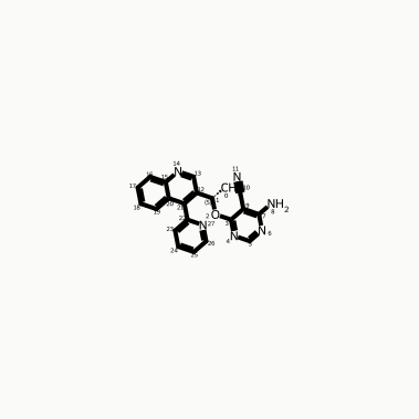 C[C@H](Oc1ncnc(N)c1C#N)c1cnc2ccccc2c1-c1ccccn1